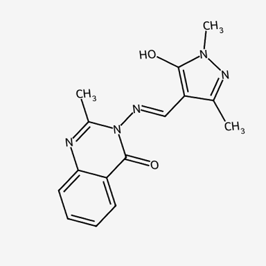 Cc1nn(C)c(O)c1C=Nn1c(C)nc2ccccc2c1=O